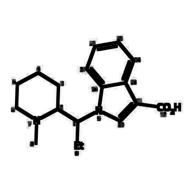 CCC(C1CCCCN1C)n1cc(C(=O)O)c2ccccc21